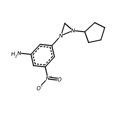 Nc1cc(N2CN2C2CCCC2)cc([N+](=O)[O-])c1